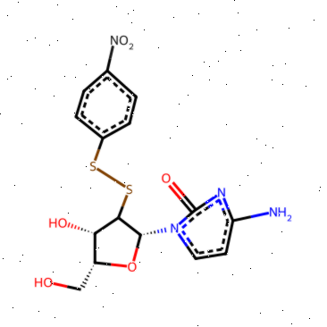 Nc1ccn([C@@H]2O[C@H](CO)[C@H](O)C2SSc2ccc([N+](=O)[O-])cc2)c(=O)n1